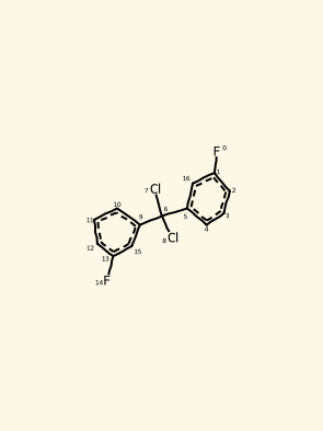 Fc1cccc(C(Cl)(Cl)c2cccc(F)c2)c1